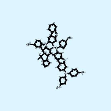 CC(C)(C)c1ccc(N2B3c4cc5oc6ccccc6c5cc4-n4c5ccc(C(C)(C)C)cc5c5c6c(c(c3c54)-c3cc4c(cc32)sc2cc(N(c3ccc(C(C)(C)C)cc3)c3ccc(C(C)(C)C)cc3)ccc24)-c2ccccc2C6(C)C)cc1